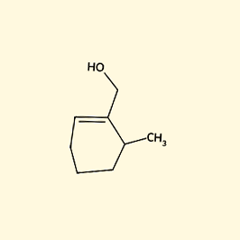 CC1CCCC=C1CO